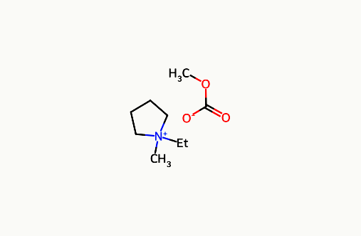 CC[N+]1(C)CCCC1.COC(=O)[O-]